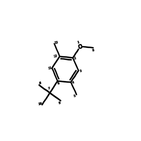 COc1cc(C)c(C(C)(C)C)cc1C